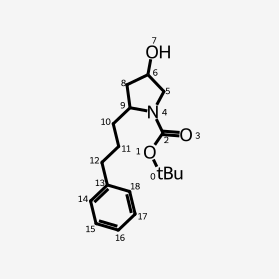 CC(C)(C)OC(=O)N1CC(O)CC1CCCc1ccccc1